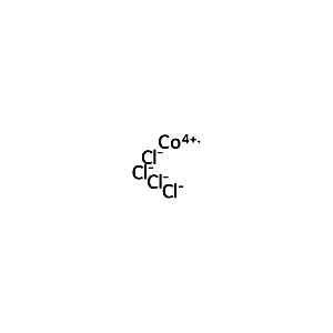 [Cl-].[Cl-].[Cl-].[Cl-].[Co+4]